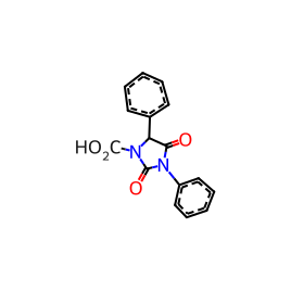 O=C1C(c2ccccc2)N(C(=O)O)C(=O)N1c1ccccc1